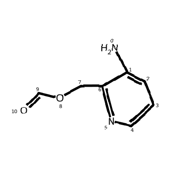 Nc1cccnc1COC=O